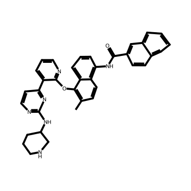 Cc1ccc2c(NC(=O)c3ccc4ccccc4c3)cccc2c1Oc1ncccc1-c1ccnc(NC2CCCNC2)n1